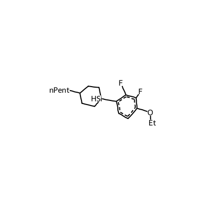 CCCCCC1CC[SiH](c2ccc(OCC)c(F)c2F)CC1